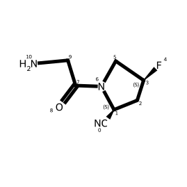 N#C[C@@H]1C[C@H](F)CN1C(=O)CN